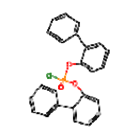 O=P(Cl)(Oc1ccccc1-c1ccccc1)Oc1ccccc1-c1ccccc1